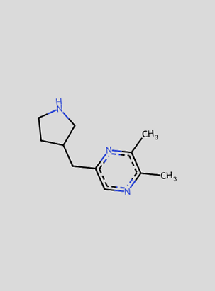 Cc1ncc(CC2CCNC2)nc1C